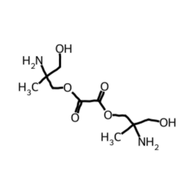 CC(N)(CO)COC(=O)C(=O)OCC(C)(N)CO